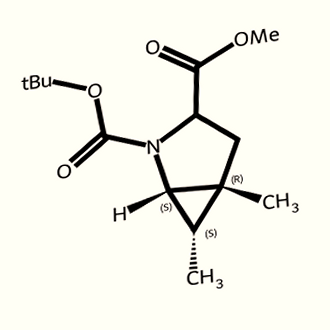 COC(=O)C1C[C@]2(C)[C@H](C)[C@@H]2N1C(=O)OC(C)(C)C